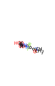 CN=S(C)(=O)c1ccc(-c2cc(F)c(-c3nc4cc(O[C@@H]5CO[C@H]6[C@@H]5OC[C@H]6O)[nH]c4cc3F)c(F)c2)cc1